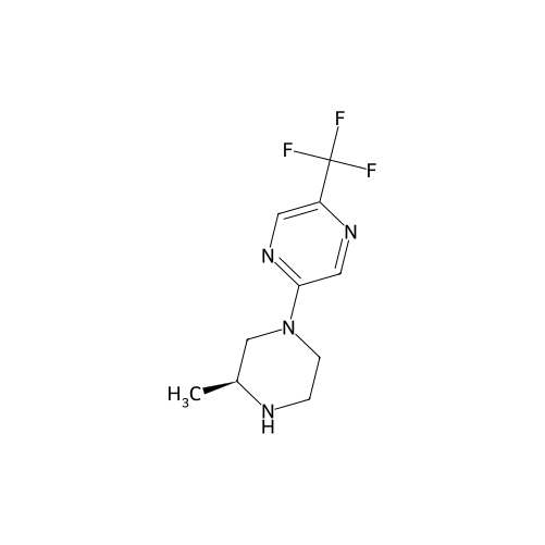 C[C@H]1CN(c2cnc(C(F)(F)F)cn2)CCN1